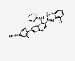 COc1ccc(-c2cc3c(NC4CCCCC4)c(/C(N)=N/c4c(Cl)cccc4Cl)cnn3c2)c(C)c1